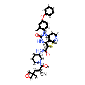 Cc1cc(Oc2ccccc2)ccc1N1C(=O)Nc2c(C(=O)NC3CCCN(C(=O)C(C#N)=CC4(C)COC4)C3)sc3nccc1c23